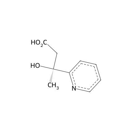 C[C@](O)(CC(=O)O)c1ccccn1